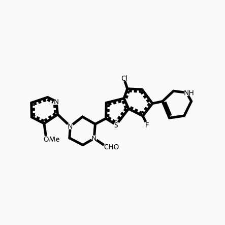 COc1cccnc1N1CCN(C=O)C(c2cc3c(Cl)cc(C4=CCCNC4)c(F)c3s2)C1